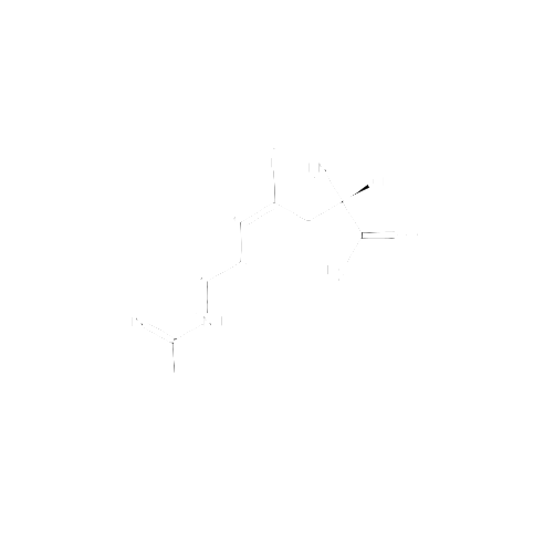 CC(=N)NCC/C=C(/F)C[C@](C)(N)C(=O)O